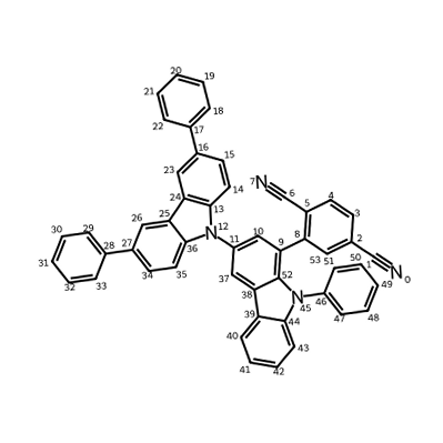 N#Cc1ccc(C#N)c(-c2cc(-n3c4ccc(-c5ccccc5)cc4c4cc(-c5ccccc5)ccc43)cc3c4ccccc4n(-c4ccccc4)c23)c1